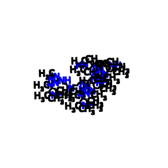 Cc1nc(NCCCN(C)CCCN(CCCNc2nc(N(C)C3CC(C)(C)NC(C)(C)C3)nc(N(C)C3CC(C)(C)NC(C)(C)C3)n2)c2nc(N(C)C3CC(C)(C)NC(C)(C)C3)nc(N(C)C3CC(C)(C)NC(C)(C)C3)n2)nc(N(C)C2CC(C)(C)NC(C)(C)C2)n1